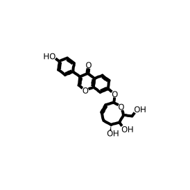 O=c1c(-c2ccc(O)cc2)coc2cc(OC3C=CC[C@@H](O)C(O)C(CO)O3)ccc12